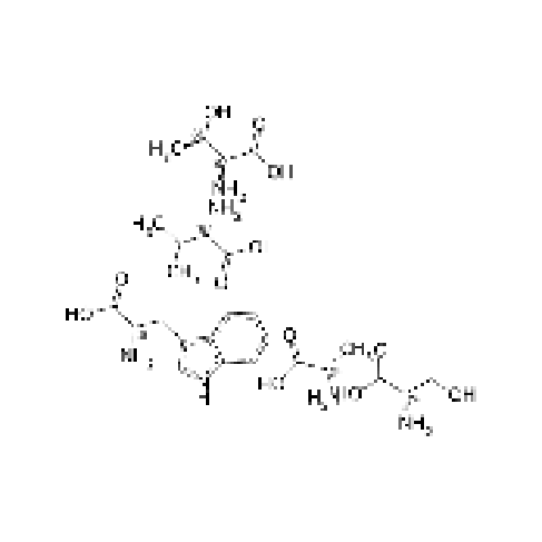 CC(C)[C@H](N)C(=O)O.C[C@@H](O)[C@H](N)C(=O)O.C[C@H](N)C(=O)O.N[C@@H](CO)C(=O)O.N[C@@H](Cc1c[nH]c2ccccc12)C(=O)O